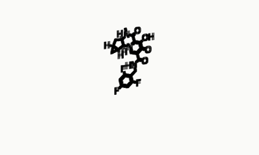 CN1C(=O)c2c(O)c(=O)c(C(=O)NCc3c(F)cc(F)cc3F)cn2[C@H]2[C@@H]3C[C@@H]3C[C@H]21